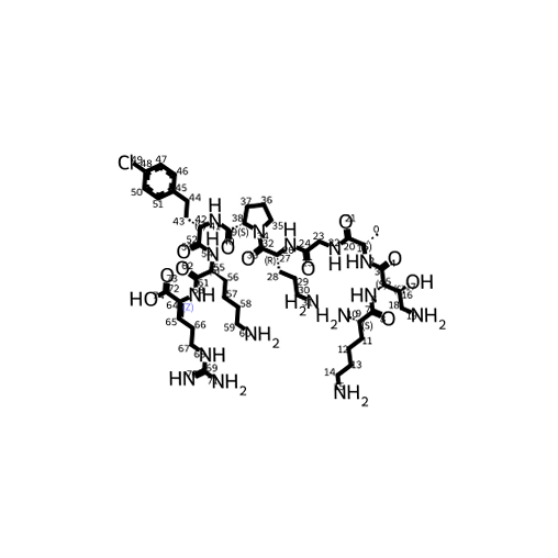 C[C@H](NC(=O)[C@@H](NC(=O)[C@@H](N)CCCCN)[C@@H](O)CN)C(=O)NCC(=O)N[C@H](CCCN)C(=O)N1CCC[C@H]1C(=O)N[C@@H](CCc1ccc(Cl)cc1)C(=O)N[C@@H](CCCCN)C(=O)N/C(=C\CCNC(=N)N)C(=O)O